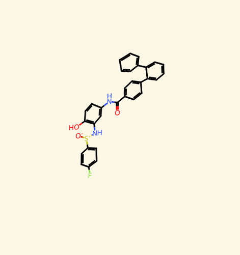 O=C(Nc1ccc(O)c(N[S+]([O-])c2ccc(F)cc2)c1)c1ccc(-c2ccccc2-c2ccccc2)cc1